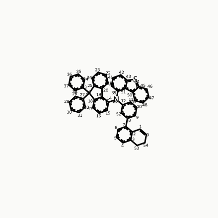 C1=Cc2c(cccc2-c2cccc(N(c3cccc4c3-c3ccccc3C4(c3ccccc3)c3ccccc3)c3cccc4sc5ccccc5c34)c2)CC1